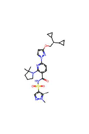 Cc1c(S(=O)(=O)NC(=O)c2ccc(-n3ccc(OCC(C4CC4)C4CC4)n3)nc2N2CCCC2(C)C)cnn1C